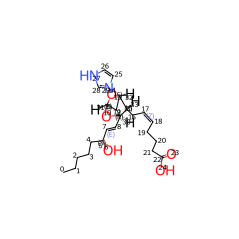 CCCCC[C@H](O)/C=C/[C@H]1O[C@H]2C[C@H](O2)[C@@H]1C/C=C\CCCC(=O)O.c1c[nH]cn1